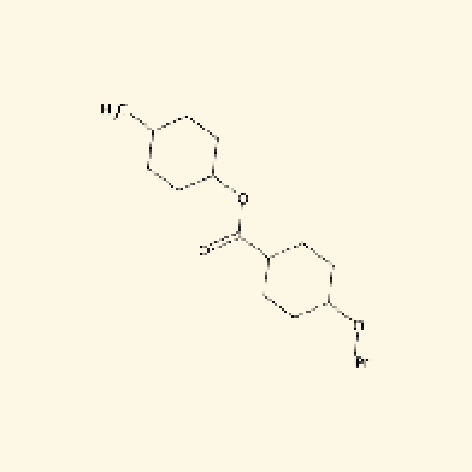 CC1CCC(OC(=O)C2CCC(OC(C)C)CC2)CC1